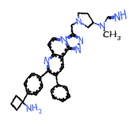 CN(C=N)[C@@H]1CCN(Cc2nnc3c4cc(-c5ccccc5)c(-c5ccc(C6(N)CCC6)cc5)nc4ccn23)C1